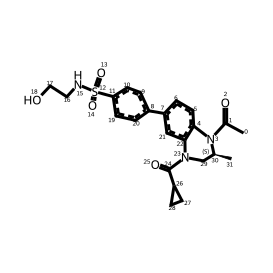 CC(=O)N1c2ccc(-c3ccc(S(=O)(=O)NCCO)cc3)cc2N(C(=O)C2CC2)C[C@@H]1C